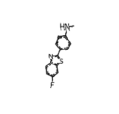 CNc1ccc(-c2nc3ccc(F)cc3s2)cc1